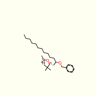 CCCCCCCCCCCC(C[C@@H](O[SiH](C)C)C(C)(C)C)OCc1ccccc1